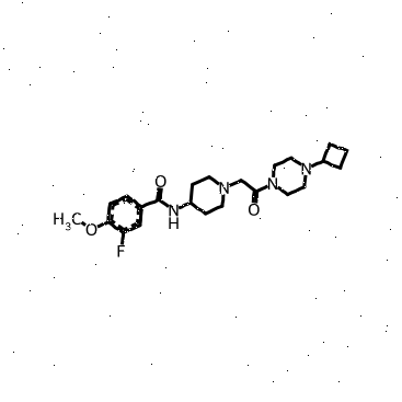 COc1ccc(C(=O)NC2CCN(CC(=O)N3CCN(C4CCC4)CC3)CC2)cc1F